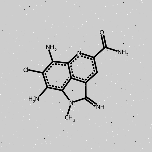 CN1C(=N)c2cc(C(N)=O)nc3c(N)c(Cl)c(N)c1c23